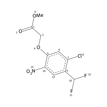 COC(=O)COc1cc(Cl)c(C(F)F)cc1[N+](=O)[O-]